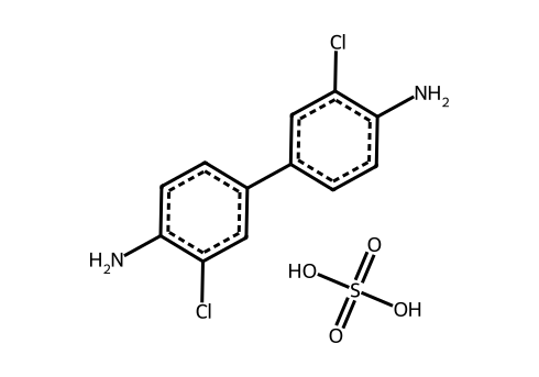 Nc1ccc(-c2ccc(N)c(Cl)c2)cc1Cl.O=S(=O)(O)O